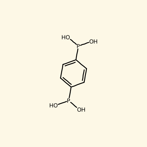 OP(O)c1ccc(P(O)O)cc1